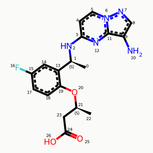 C[C@H](Nc1ccn2ncc(N)c2n1)c1cc(F)ccc1O[C@@H](C)CC(=O)O